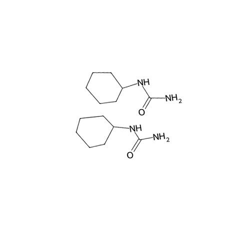 NC(=O)NC1CCCCC1.NC(=O)NC1CCCCC1